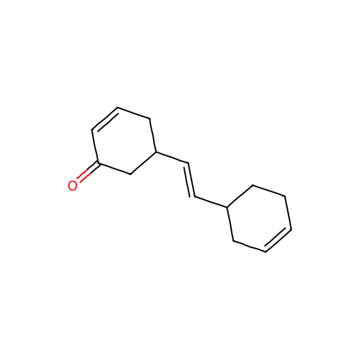 O=C1C=CCC(C=CC2CC=CCC2)C1